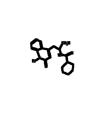 CCn1c(=O)cc(CC(NC(=O)C2CCCCC2)C(=O)O)c2ccccc21